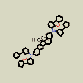 CC1(C)c2cc3cc(N(c4cccc(-c5ccccc5)c4)c4cccc5c4oc4ccccc45)ccc3cc2-c2ccc3cc(N(c4cccc(-c5ccccc5)c4)c4cccc5c4oc4ccccc45)ccc3c21